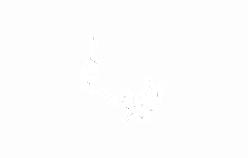 C[N+](C)(CCCCCC(=O)NC1(C(F)(F)F)C(=O)Nc2nc3cc(Cl)c(Cl)cc3n21)Cc1cn(CCF)nn1